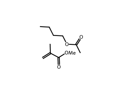 C=C(C)C(=O)OC.CCCCOC(C)=O